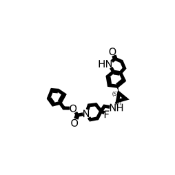 O=C1CCc2cc([C@@H]3C[C@H]3NCC3(F)CCN(C(=O)OCc4ccccc4)CC3)ccc2N1